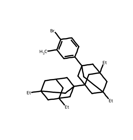 CCC12CC3CC(CC)(C1)CC(C14CC5(CC)CC(CC)(CC(c6ccc(Br)c(C)c6)(C5)C1)C4)(C3)C2